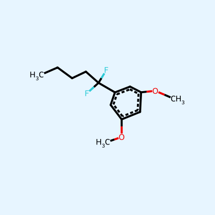 CCCCC(F)(F)c1cc(OC)cc(OC)c1